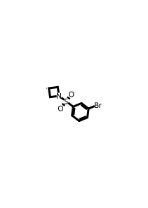 O=S(=O)(c1cccc(Br)c1)N1C[CH]C1